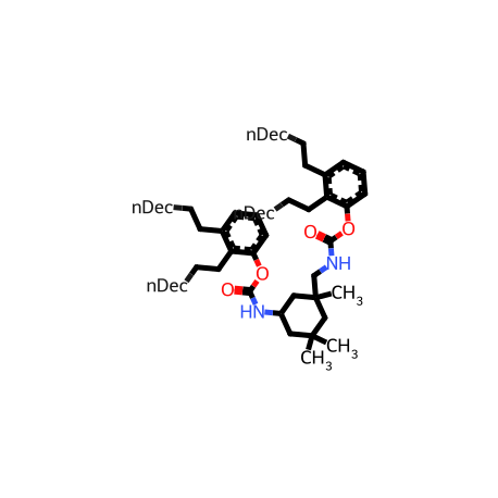 CCCCCCCCCCCCc1cccc(OC(=O)NCC2(C)CC(NC(=O)Oc3cccc(CCCCCCCCCCCC)c3CCCCCCCCCCCC)CC(C)(C)C2)c1CCCCCCCCCCCC